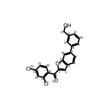 O=C(c1cc2ccc(-c3cccc(CO)c3)cc2o1)c1ccc(Cl)cc1Cl